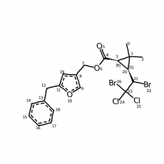 CC1(C)[C@H](C(=O)OCc2coc(Cc3ccccc3)c2)[C@@H]1C(Br)C(Cl)(Cl)Br